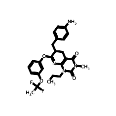 CCCn1c2c(c(=O)n(C)c1=O)CC(Cc1ccc(N)cc1)C(Oc1cccc(OC(C)(F)F)c1)=N2